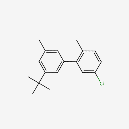 Cc1cc(-c2cc(Cl)ccc2C)cc(C(C)(C)C)c1